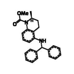 COC(=O)N1c2cccc(NC(c3ccccc3)c3ccccc3)c2CC[C@@H]1C